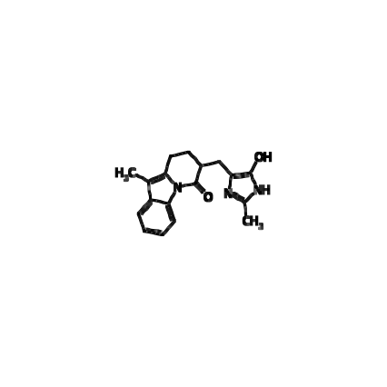 Cc1nc(CC2CCc3c(C)c4ccccc4n3C2=O)c(O)[nH]1